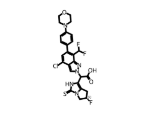 O=C(O)C(c1[nH]c(=S)n2c1C[C@@H](F)C2)n1cc2c(Cl)cc(-c3ccc(N4CCOCC4)cc3)c(C(F)F)c2n1